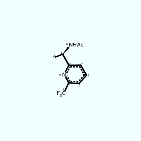 CC(=O)N[C@H](C)c1cccc(C(F)(F)F)n1